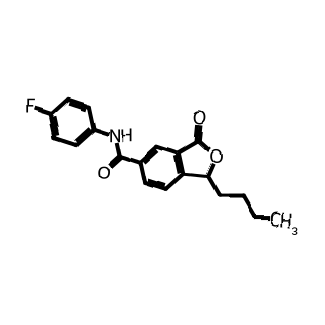 CCCCC1OC(=O)c2cc(C(=O)Nc3ccc(F)cc3)ccc21